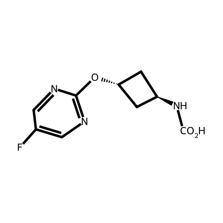 O=C(O)N[C@H]1C[C@H](Oc2ncc(F)cn2)C1